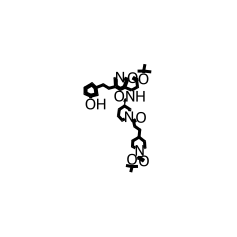 CC(C)(C)OC(=O)CC(NC(=O)[C@@H]1CCCN(C(=O)CCC2CCN(C(=O)OC(C)(C)C)CC2)C1)c1cncc(CCc2cccc(O)c2)c1